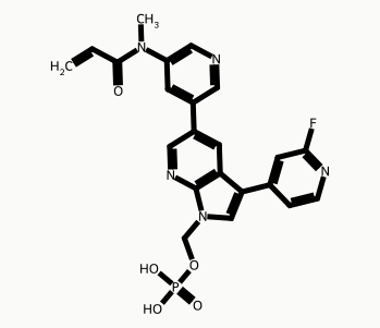 C=CC(=O)N(C)c1cncc(-c2cnc3c(c2)c(-c2ccnc(F)c2)cn3COP(=O)(O)O)c1